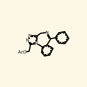 CC(=O)OCc1nnc2n1-c1ccccc1C(c1ccccc1)=NC2